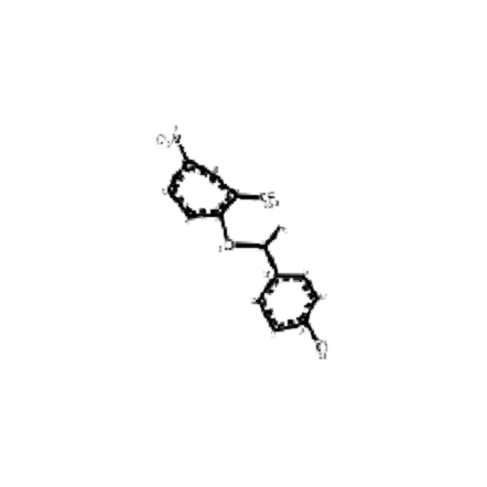 CC(Oc1ccc([N+](=O)[O-])cc1C(F)(F)F)c1ccc(Cl)cc1